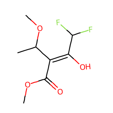 COC(=O)/C(=C(\O)C(F)F)C(C)OC